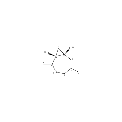 CC1COC(C)[C@@H]2C[C@@H]2C1